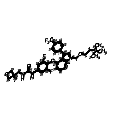 C[Si](C)(C)CCOCn1cc(-c2ccc(C(F)(F)F)cc2)c2c(Oc3c(F)cc(NC(=O)NCC4(F)COC4)cc3F)ccnc21